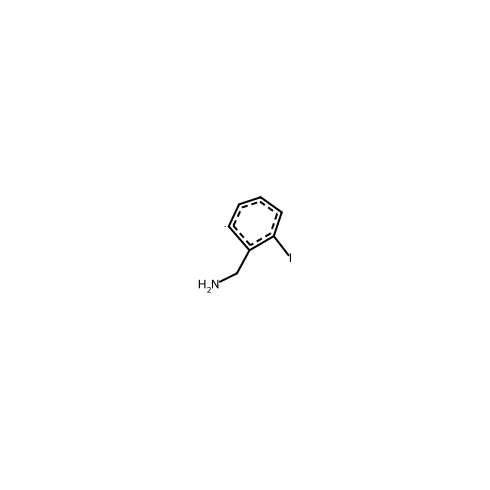 NCc1[c]cccc1I